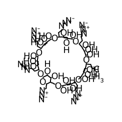 CCCC1OC(O)C(O)C(O)C(CCN=[N+]=[N-])OC(O)/C(O)=C(\O)C(CCN=[N+]=[N-])OC(O)/C(O)=C(/O)C(CCN=[N+]=[N-])OC(O)/C(O)=C(/O)C(CCN=[N+]=[N-])OC2OC(CN=[N+]=[N-])C(OC(O)/C(O)=C(\O)C(CCN=[N+]=[N-])OC(O)/C(O)=C\1O)C(O)C2O